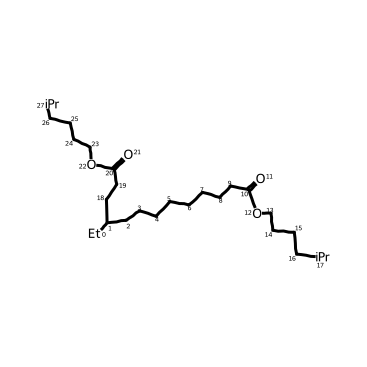 CCC(CCCCCCCCC(=O)OCCCCC(C)C)CCC(=O)OCCCCC(C)C